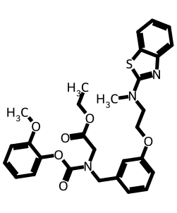 CCOC(=O)CN(Cc1cccc(OCCN(C)c2nc3ccccc3s2)c1)C(=O)Oc1ccccc1OC